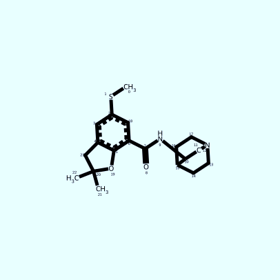 CSc1cc2c(c(C(=O)NC3CN4CCC3CC4)c1)OC(C)(C)C2